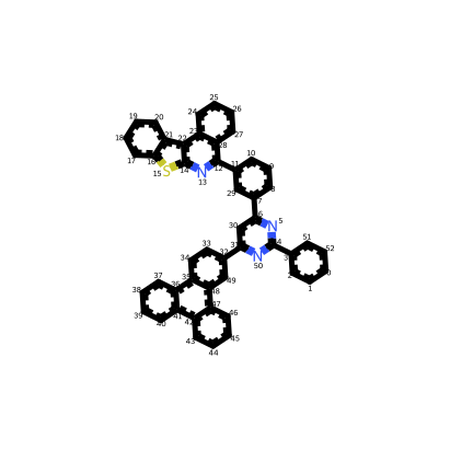 c1ccc(-c2nc(-c3cccc(-c4nc5sc6ccccc6c5c5ccccc45)c3)cc(-c3ccc4c5ccccc5c5ccccc5c4c3)n2)cc1